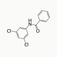 O=C(Nc1cc(Cl)cc(Cl)c1)c1ccccc1